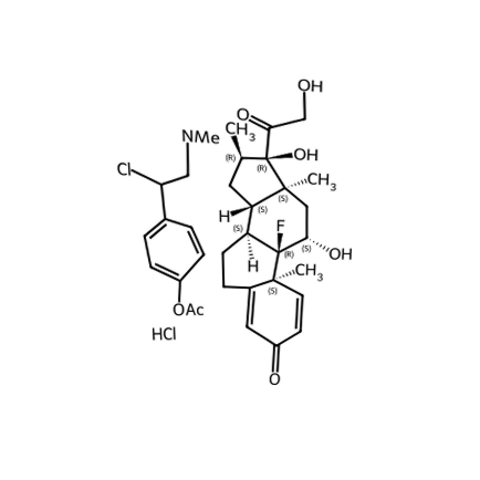 CNCC(Cl)c1ccc(OC(C)=O)cc1.C[C@@H]1C[C@H]2[C@@H]3CCC4=CC(=O)C=C[C@]4(C)[C@@]3(F)[C@@H](O)C[C@]2(C)[C@@]1(O)C(=O)CO.Cl